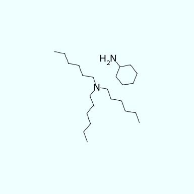 CCCCCCN(CCCCCC)CCCCCC.NC1CCCCC1